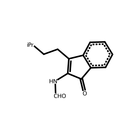 CC(C)CCC1=C(NC=O)C(=O)c2ccccc21